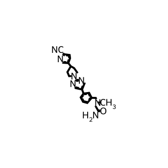 CN(CC(N)=O)Cc1cccc(-c2cnc(N3CCC(c4ccc(C#N)nc4)CC3)nc2)c1